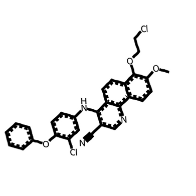 COc1ccc2c(ccc3c(Nc4ccc(Oc5ccccc5)c(Cl)c4)c(C#N)cnc32)c1OCCCl